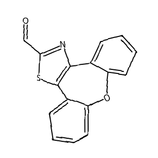 O=Cc1nc2c(s1)-c1ccccc1Oc1ccccc1-2